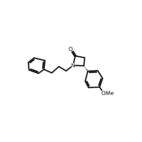 COc1ccc([C@H]2CC(=O)N2CCCc2ccccc2)cc1